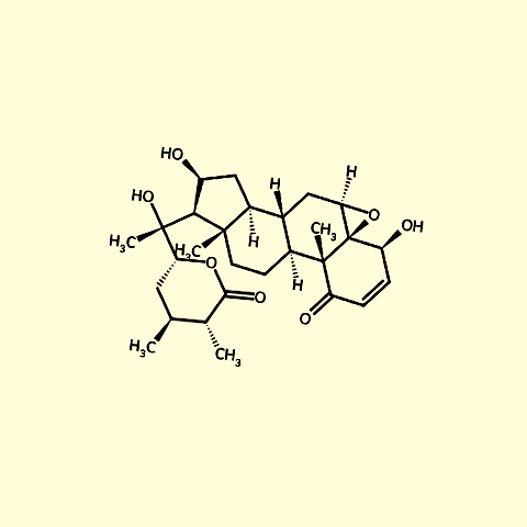 C[C@H]1C[C@H]([C@](C)(O)[C@H]2[C@@H](O)C[C@H]3[C@@H]4C[C@H]5O[C@]56[C@@H](O)C=CC(=O)[C@]6(C)[C@H]4CC[C@]23C)OC(=O)[C@@H]1C